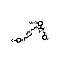 COc1cccc2c(C(=O)NCc3cccc(F)c3)cn(CCCN3CCN(CCOc4ccc(Cl)cc4)CC3)c12